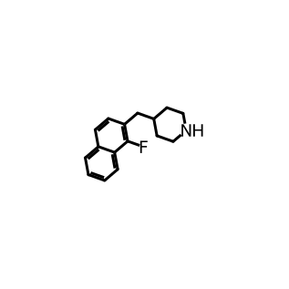 Fc1c(CC2CCNCC2)ccc2ccccc12